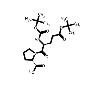 CC(C)(C)OC(=O)CC[C@H](NC(=O)OC(C)(C)C)C(=O)N1CCC[C@H]1C(=O)O